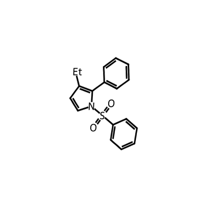 [CH2]Cc1ccn(S(=O)(=O)c2ccccc2)c1-c1ccccc1